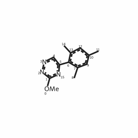 COc1nncc(-c2c(C)cc(C)cc2C)n1